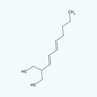 CCCCC=CC=CC(CS)CS